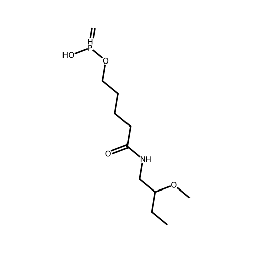 C=[PH](O)OCCCCC(=O)NCC(CC)OC